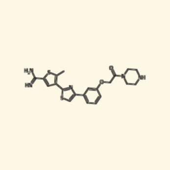 Cc1sc(C(=N)N)cc1-c1nc(-c2cccc(OCC(=O)N3CCNCC3)c2)cs1